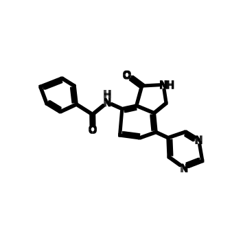 O=C(Nc1ccc(-c2cncnc2)c2c1C(=O)NC2)c1ccccc1